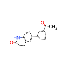 CC(=O)c1cccc(-c2ccc3c(c2)CCC(=O)N3)c1